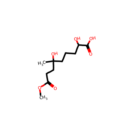 COC(=O)CCC(C)(O)CCCC(O)C(=O)O